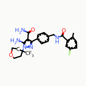 Cc1ccc(F)cc1C(=O)NCc1ccc(-c2nn(C3(C(F)(F)F)CCOCC3)c(N)c2C(N)=O)cc1